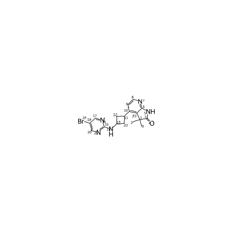 CC1(C)C(=O)Nc2nccc(C3CC(Nc4ncc(Br)cn4)C3)c21